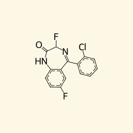 O=C1Nc2ccc(F)cc2C(c2ccccc2Cl)=NC1F